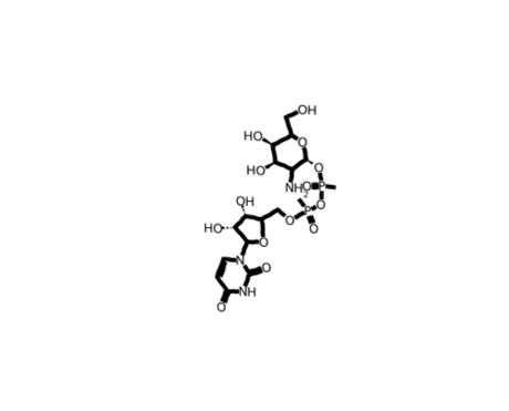 CP(=O)(OCC1OC(n2ccc(=O)[nH]c2=O)[C@H](O)[C@@H]1O)OP(C)(=O)O[C@H]1OC(CO)[C@H](O)[C@H](O)C1N